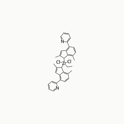 C[CH2][Zr]([Cl])([Cl])([CH]1C(C)=Cc2c(-c3ccccn3)ccc(C)c21)[CH]1C(C)=Cc2c(-c3ccccn3)ccc(C)c21